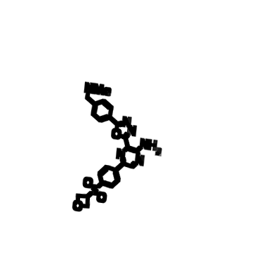 CNCc1ccc(-c2nnc(-c3nc(-c4ccc(S(=O)(=O)C5COC5)cc4)cnc3N)o2)cc1